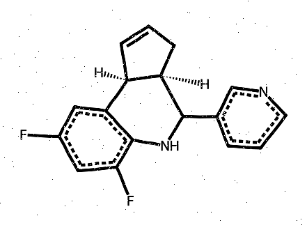 Fc1cc(F)c2c(c1)[C@H]1C=CC[C@H]1C(c1cccnc1)N2